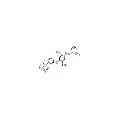 CCN(C)/C=N/c1cc(C)c(Oc2cccc(C(C)(OC)C(F)(F)F)c2)cc1C